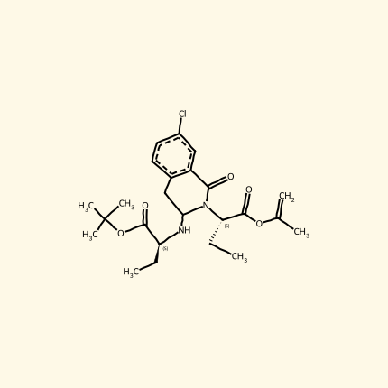 C=C(C)OC(=O)[C@H](CC)N1C(=O)c2cc(Cl)ccc2CC1N[C@@H](CC)C(=O)OC(C)(C)C